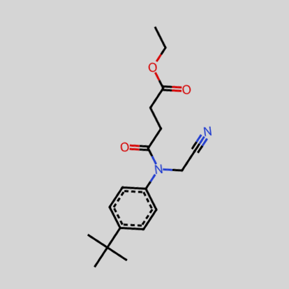 CCOC(=O)CCC(=O)N(CC#N)c1ccc(C(C)(C)C)cc1